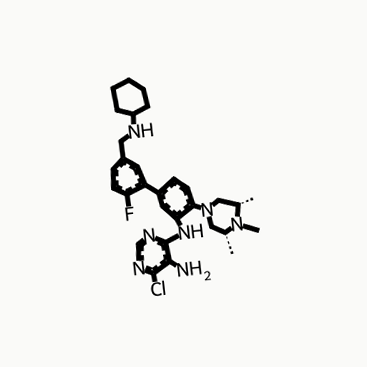 C[C@@H]1CN(c2ccc(-c3cc(CNC4CCCCC4)ccc3F)cc2Nc2ncnc(Cl)c2N)C[C@H](C)N1C